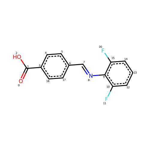 O=C(O)c1ccc(/C=N/c2c(F)cccc2F)cc1